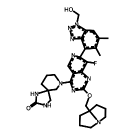 Cc1cc2c(nnn2CO)c(-c2ncc3c(N4CCCC5(CNC(=O)N5)C4)nc(OCC45CCCN4CCC5)nc3c2F)c1C